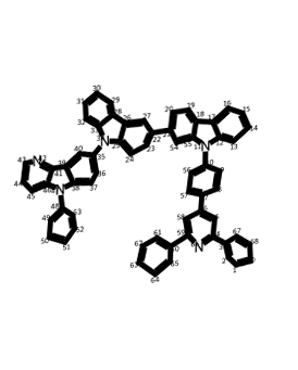 c1ccc(-c2cc(-c3ccc(-n4c5ccccc5c5ccc(-c6ccc7c(c6)c6ccccc6n7-c6ccc7c(c6)c6ncccc6n7-c6ccccc6)cc54)cc3)cc(-c3ccccc3)n2)cc1